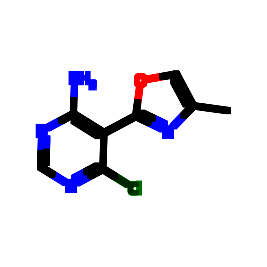 Cc1coc(-c2c(N)ncnc2Cl)n1